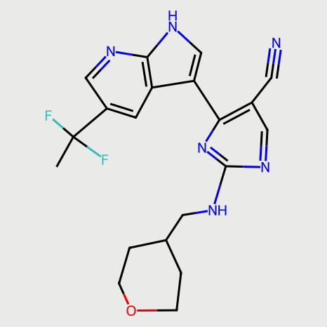 CC(F)(F)c1cnc2[nH]cc(-c3nc(NCC4CCOCC4)ncc3C#N)c2c1